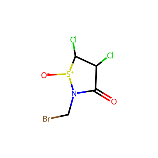 O=C1C(Cl)C(Cl)[S+]([O-])N1CBr